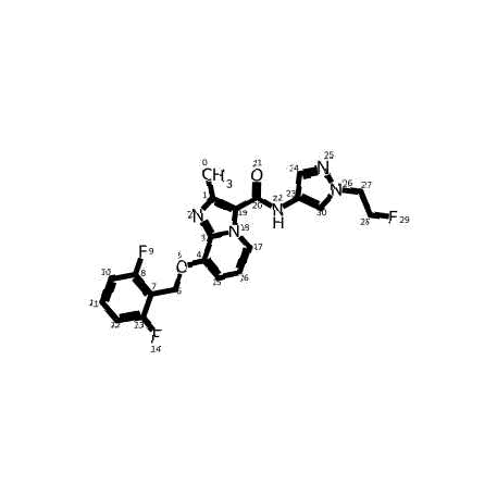 Cc1nc2c(OCc3c(F)cccc3F)cccn2c1C(=O)Nc1cnn(CCF)c1